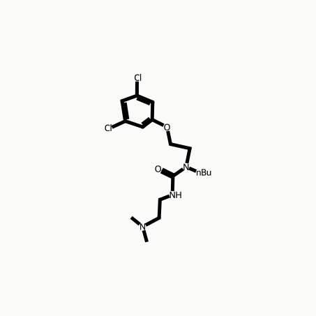 CCCCN(CCOc1cc(Cl)cc(Cl)c1)C(=O)NCCN(C)C